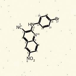 N#Cc1cc2cc([N+](=O)[O-])ccc2nc1Nc1ccc(Br)cc1